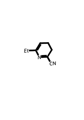 CCC1=CCCC(C#N)=N1